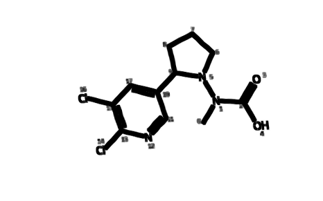 CN(C(=O)O)N1CCCC1c1cnc(Cl)c(Cl)c1